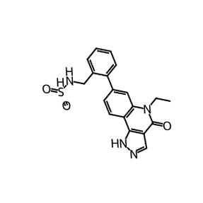 CCn1c(=O)c2cn[nH]c2c2ccc(-c3ccccc3CN[SH](=O)=O)cc21